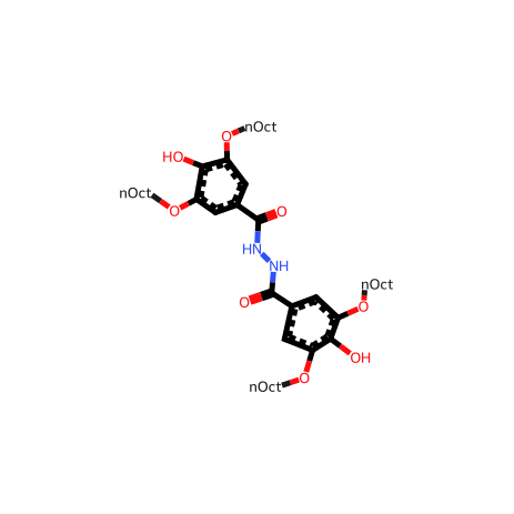 CCCCCCCCOc1cc(C(=O)NNC(=O)c2cc(OCCCCCCCC)c(O)c(OCCCCCCCC)c2)cc(OCCCCCCCC)c1O